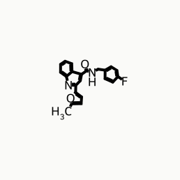 Cc1ccc(-c2cc(C(=O)NCc3ccc(F)cc3)c3ccccc3n2)o1